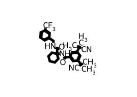 CC(C)(C#N)c1cc(C(=O)NC2(C(=O)NCc3cccc(C(F)(F)F)c3)CCCCC2)cc(C(C)(C)C#N)c1